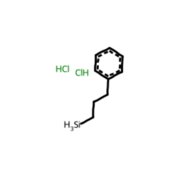 Cl.Cl.[SiH3]CCCc1ccccc1